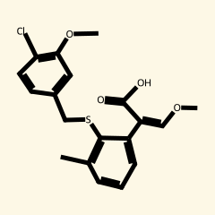 COC=C(C(=O)O)c1cccc(C)c1SCc1ccc(Cl)c(OC)c1